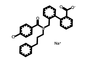 O=C([O-])c1ccccc1-c1ccccc1CN(CCCc1ccccc1)C(=O)c1ccc(Cl)cc1.[Na+]